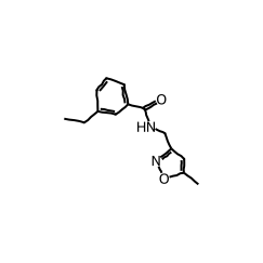 CCc1cccc(C(=O)NCc2cc(C)on2)c1